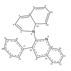 C1=CC2=CC=CN(c3nc4ccccc4cc3-c3ccccc3)C2C=C1